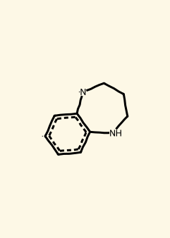 [c]1ccc2c(c1)[N]CCCN2